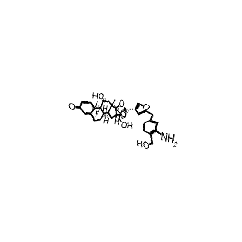 C[C@]12C=CC(=O)C=C1CC[C@H]1[C@@H]3C[C@H]4O[C@@H](c5coc(Cc6ccc(CO)c(N)c6)c5)O[C@@]4(C(=O)CO)[C@@]3(C)C[C@H](O)[C@@]12F